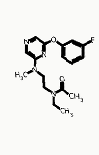 CCN(CCN(C)c1cncc(Oc2cccc(F)c2)n1)C(C)=O